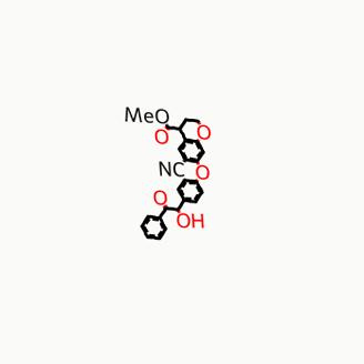 COC(=O)C1CCOc2cc(Oc3ccc(C(O)C(=O)c4ccccc4)cc3)c(C#N)cc21